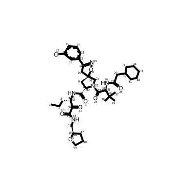 CCC[C@H](NC(=O)[C@@H]1C[C@]2(CC(c3cccc(Cl)c3)=NO2)CN1C(=O)[C@@H](NC(=O)CC1CCCCC1)C(C)(C)C)C(=O)C(=O)NC[C@H]1CCCO1